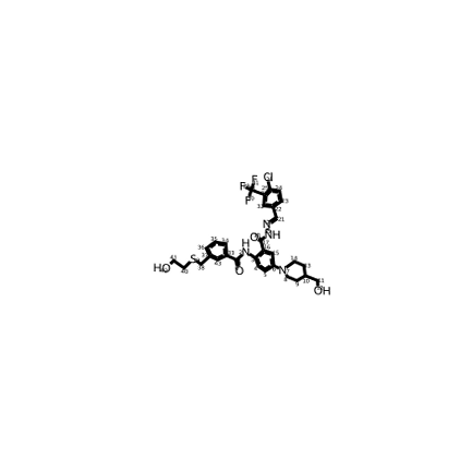 O=C(Nc1ccc(N2CCC(CO)CC2)cc1C(=O)N/N=C/c1ccc(Cl)c(C(F)(F)F)c1)c1cccc(CSCCO)c1